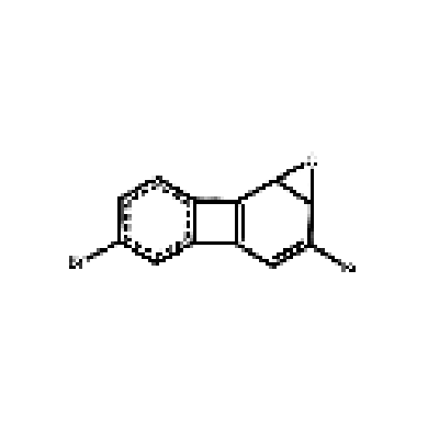 BrC1=CC2=C(c3ccc(Br)cc32)C2OC12